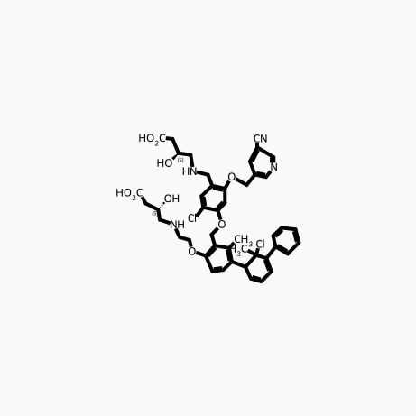 Cc1c(C2C=CC=C(c3ccccc3)C2(C)Cl)ccc(OCCNC[C@@H](O)CC(=O)O)c1COc1cc(OCc2cncc(C#N)c2)c(CNC[C@@H](O)CC(=O)O)cc1Cl